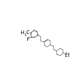 CCC1CCC(CCC2CC=C(CCc3ccc(C)c(F)c3)CC2)CC1